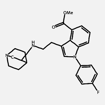 COC(=O)c1cccc2c1c(CCNC1CN3CCC1CC3)cn2-c1ccc(F)cc1